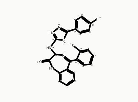 O=C1Nc2ccccc2C(c2ccccc2F)=NC1Nc1nnc(-c2ccc(F)cc2)o1